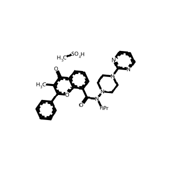 CCCN(C(=O)c1cccc2c(=O)c(C)c(-c3ccccc3)oc12)N1CCN(c2ncccn2)CC1.CS(=O)(=O)O